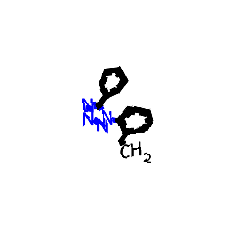 C=Cc1ccccc1-n1nnnc1-c1ccccc1